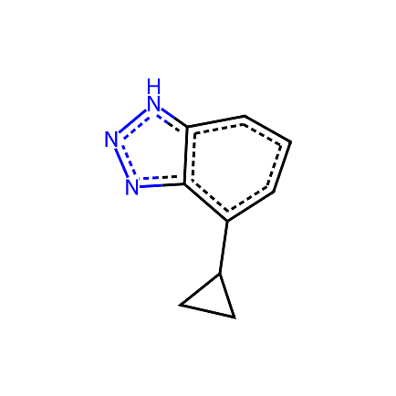 c1cc(C2CC2)c2nn[nH]c2c1